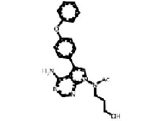 CC(=O)N(CCCO)n1cc(-c2ccc(Oc3ccccc3)cc2)c2c(N)ncnc21